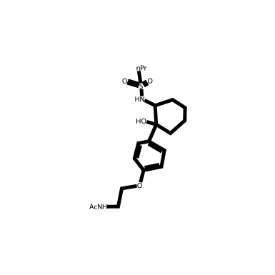 CCCS(=O)(=O)NC1CCCCC1(O)c1ccc(OCCNC(C)=O)cc1